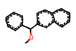 COC(c1[c]c2ccccc2cc1)c1ccccc1